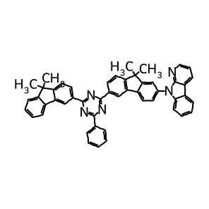 CC1(C)c2ccccc2-c2cc(-c3nc(-c4ccccc4)nc(-c4ccc5c(c4)-c4ccc(-n6c7ccccc7c7cccnc76)cc4C5(C)C)n3)ccc21